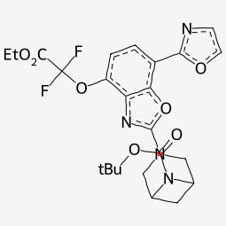 CCOC(=O)C(F)(F)Oc1ccc(-c2ncco2)c2oc(N3CC4CC(C3)N4C(=O)OC(C)(C)C)nc12